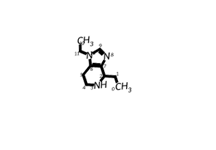 CCC1NCCc2c1ncn2CC